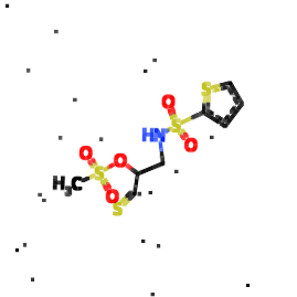 CS(=O)(=O)OC([C]=S)CNS(=O)(=O)c1cccs1